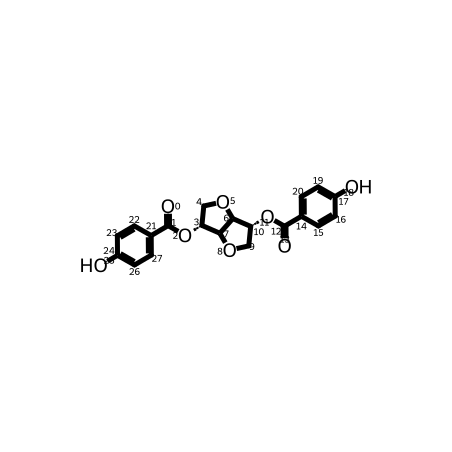 O=C(O[C@@H]1COC2C1OC[C@H]2OC(=O)c1ccc(O)cc1)c1ccc(O)cc1